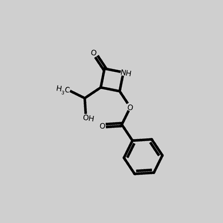 CC(O)C1C(=O)NC1OC(=O)c1ccccc1